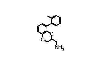 Cc1ccccc1-c1cccc2c1OC(CN)CO2